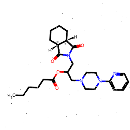 CCCCCC(=O)OC(CN1CCN(c2ccccn2)CC1)CN1C(=O)[C@H]2CCCC[C@H]2C1=O